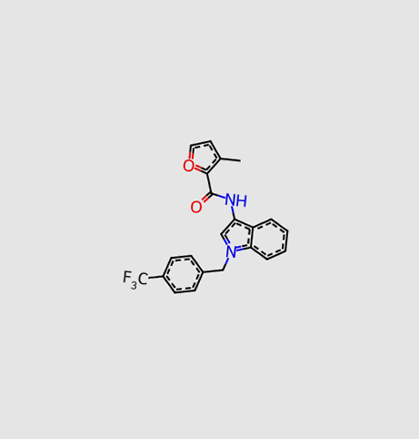 Cc1ccoc1C(=O)Nc1cn(Cc2ccc(C(F)(F)F)cc2)c2ccccc12